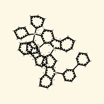 c1ccc(-c2cccc(-n3c4ccccc4c4ccc(-n5c6ccccc6c6ccc([Si](c7ccccc7)(c7ccccc7)c7ccccc7)c(-n7c8ccccc8c8ccccc87)c65)cc43)c2)cc1